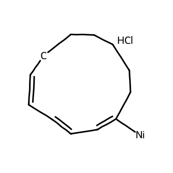 Cl.[Ni][C]1=CC=CC=CCCCCCC1